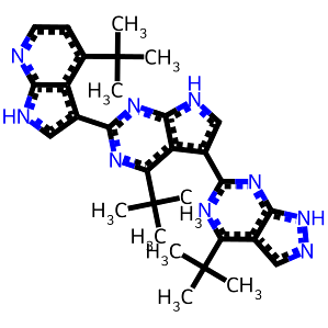 CC(C)(C)c1nc(-c2c[nH]c3nc(-c4c[nH]c5nccc(C(C)(C)C)c45)nc(C(C)(C)C)c23)nc2[nH]ncc12